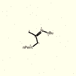 CCCCCC/C(C)=N\CCCC